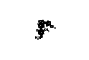 Cc1cc(CN)cc(F)c1-c1cc2c(-c3cnn(C)c3)n[nH]c2cn1